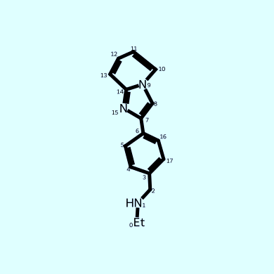 CCNCc1ccc(-c2cn3ccccc3n2)cc1